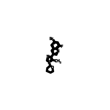 Cc1c(-c2cnc3c(F)cc(Br)cc3c2)ncn1C1CCCCO1